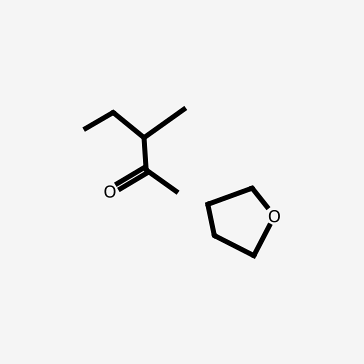 C1CCOC1.CCC(C)C(C)=O